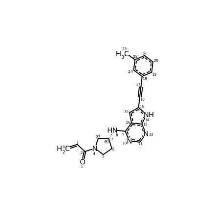 C=CC(=O)N1CC[C@@H](Nc2ncnc3[nH]c(C#Cc4cccc(C)c4)cc23)C1